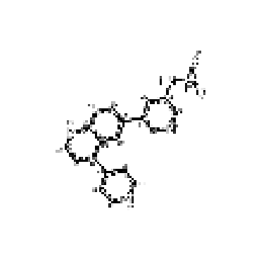 O=[SH](=O)Nc1cncc(-c2ccc3nccc(-c4ccncc4)c3c2)c1